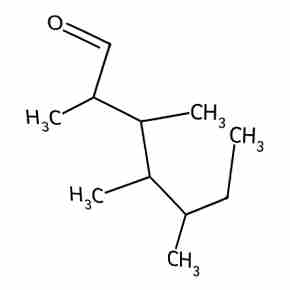 CCC(C)C(C)C(C)C(C)C=O